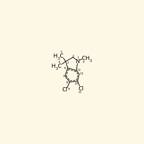 CN1CC(C)(C)c2cc(Cl)c(Cl)cc21